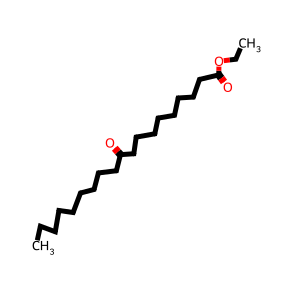 CCCCCCCCCC(=O)CCCCCCCCC(=O)OCC